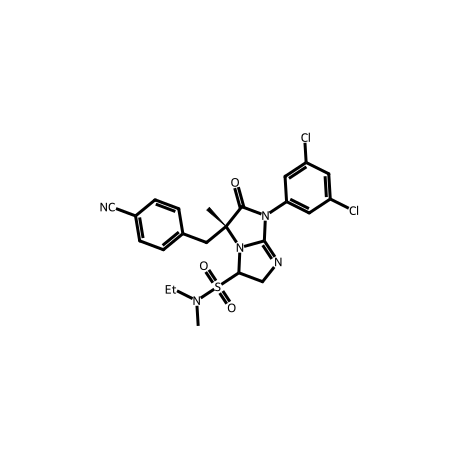 CCN(C)S(=O)(=O)C1CN=C2N(c3cc(Cl)cc(Cl)c3)C(=O)[C@@](C)(Cc3ccc(C#N)cc3)N21